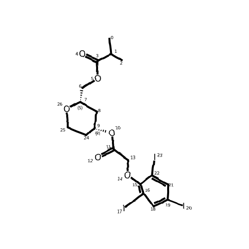 CC(C)C(=O)OC[C@@H]1C[C@H](OC(=O)COc2c(I)cc(I)cc2I)CCO1